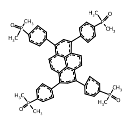 CP(C)(=O)c1ccc(-c2cc(-c3ccc(P(C)(C)=O)cc3)c3ccc4c(-c5ccc(P(C)(C)=O)cc5)cc(-c5ccc(P(C)(C)=O)cc5)c5ccc2c3c54)cc1